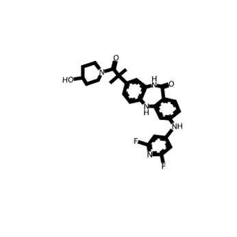 CC(C)(C(=O)N1CCC(O)CC1)c1ccc2c(c1)NC(=O)c1ccc(Nc3cc(F)nc(F)c3)cc1N2